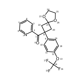 O=C(c1ccccn1)C1(c2ccc(OC(F)(F)F)cc2)CC2(C1)OCCO2